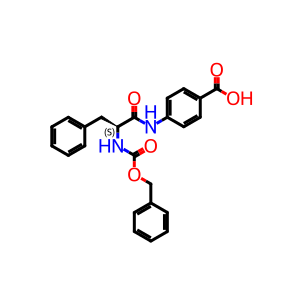 O=C(N[C@@H](Cc1ccccc1)C(=O)Nc1ccc(C(=O)O)cc1)OCc1ccccc1